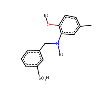 CCOc1ccc(C)cc1N(CC)Cc1cccc(S(=O)(=O)O)c1